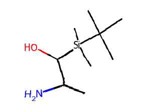 CC(N)C(O)[Si](C)(C)C(C)(C)C